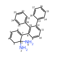 NC1(N)CC=CC=C1c1cccc(-c2ccccc2)c1-c1ccccc1